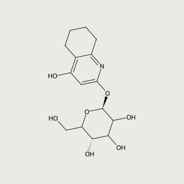 OCC1O[C@@H](Oc2cc(O)c3c(n2)CCCC3)C(O)C(O)[C@@H]1O